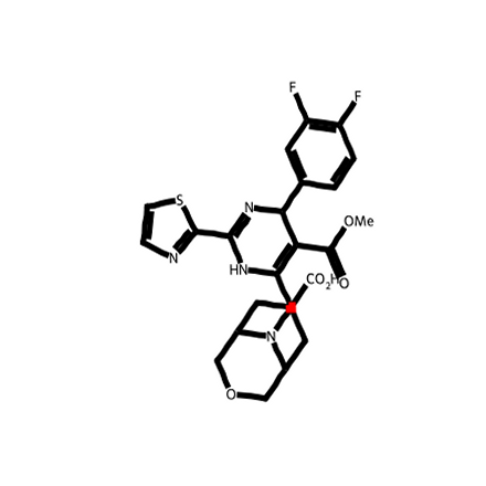 COC(=O)C1=C(CN2C3COCC2CC(C(=O)O)C3)NC(c2nccs2)=NC1c1ccc(F)c(F)c1